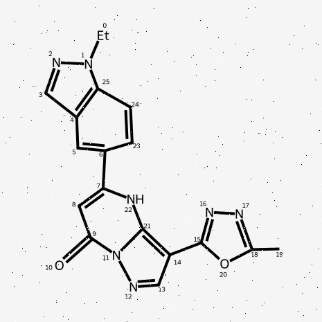 CCn1ncc2cc(-c3cc(=O)n4ncc(-c5nnc(C)o5)c4[nH]3)ccc21